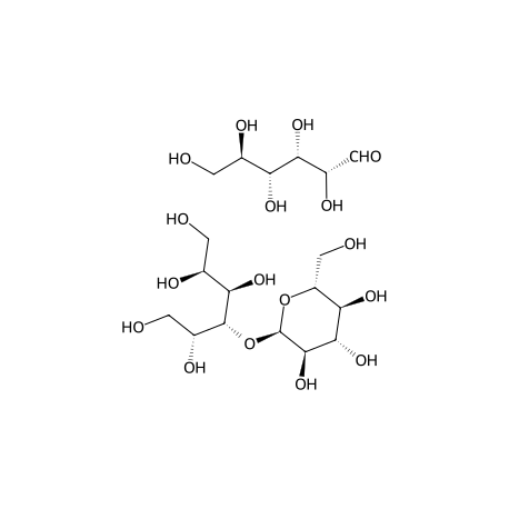 O=C[C@H](O)[C@@H](O)[C@H](O)[C@H](O)CO.OC[C@@H](O)[C@@H](O[C@H]1O[C@H](CO)[C@@H](O)[C@H](O)[C@H]1O)[C@H](O)[C@@H](O)CO